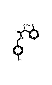 CO[C@H](C(=O)NCc1ccc(C#N)cc1)c1ccccc1F